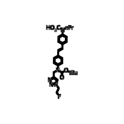 CCCN(C(=O)O)c1ccc(C=Cc2ccc(N(Cc3cn(CCF)nn3)C(=O)OC(C)(C)C)cc2)cc1